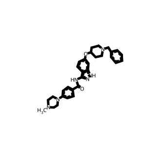 CN1CCN(c2ccc(C(=O)Nc3n[nH]c4cc(OC5CCN(Cc6ccccc6)CC5)ccc34)cc2)CC1